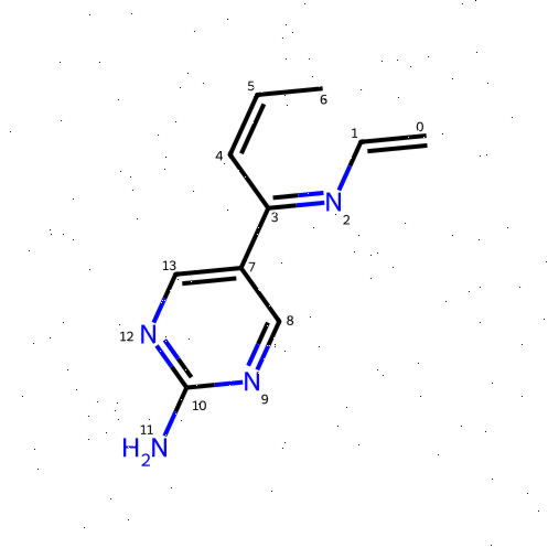 C=C/N=C(\C=C/C)c1cnc(N)nc1